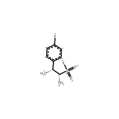 C[C@H](c1ccc(F)cc1)[C@@H](C)S(=O)(=O)F